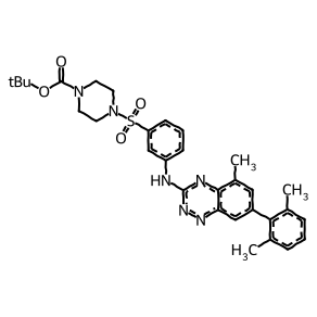 Cc1cccc(C)c1-c1cc(C)c2nc(Nc3cccc(S(=O)(=O)N4CCN(C(=O)OC(C)(C)C)CC4)c3)nnc2c1